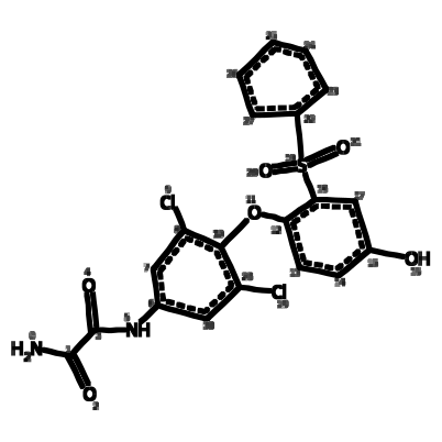 NC(=O)C(=O)Nc1cc(Cl)c(Oc2ccc(O)cc2S(=O)(=O)c2ccccc2)c(Cl)c1